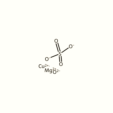 O=S(=O)([O-])[O-].[Cu+2].[Mg+2].[O-2]